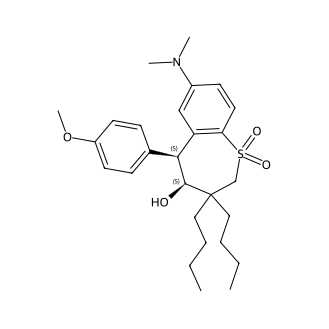 CCCCC1(CCCC)CS(=O)(=O)c2ccc(N(C)C)cc2[C@H](c2ccc(OC)cc2)[C@@H]1O